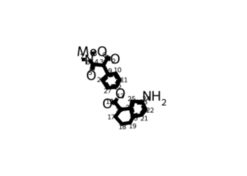 COC(=O)C(C(=O)N(C)C)c1ccc(OC(=O)C2CCCc3ccc(N)cc32)cc1